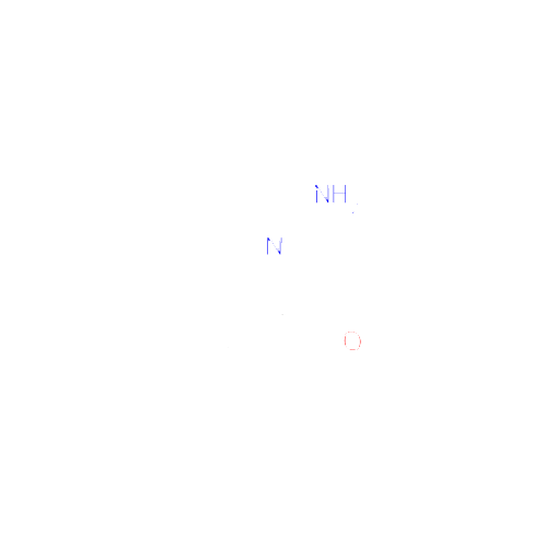 NN1C=CCC1=O